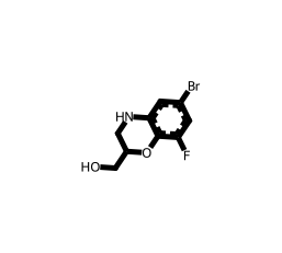 OCC1CNc2cc(Br)cc(F)c2O1